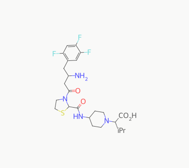 CC(C)C(C(=O)O)N1CCC(NC(=O)C2SCCN2C(=O)CC(N)Cc2cc(F)c(F)cc2F)CC1